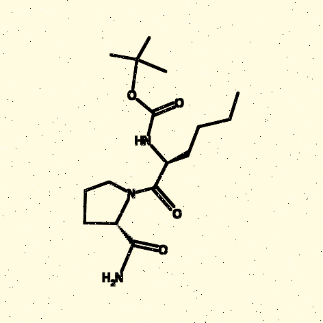 CCCC[C@H](NC(=O)OC(C)(C)C)C(=O)N1CCC[C@H]1C(N)=O